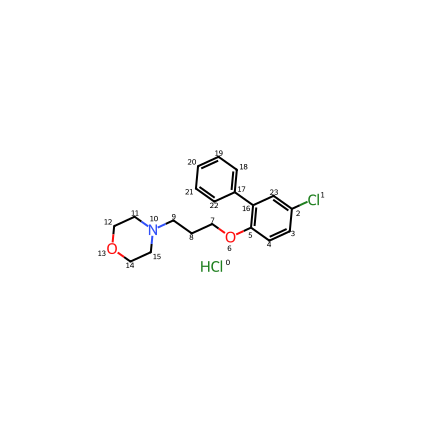 Cl.Clc1ccc(OCCCN2CCOCC2)c(-c2ccccc2)c1